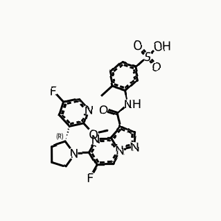 COc1ncc(F)cc1[C@H]1CCCN1c1nc2c(C(=O)Nc3cc(S(=O)(=O)O)ccc3C)cnn2cc1F